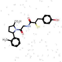 Cc1ccccc1C1CCC(C(=O)O)N1C(=O)CNC(=O)C(S)Cc1ccc(O)cc1